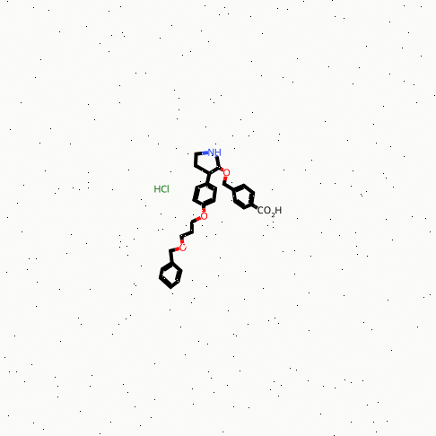 Cl.O=C(O)c1ccc(COC2CNCCC2c2ccc(OCCCOCc3ccccc3)cc2)cc1